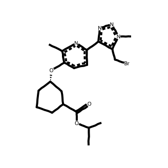 Cc1nc(-c2nnn(C)c2CBr)ccc1O[C@H]1CCCC(C(=O)OC(C)C)C1